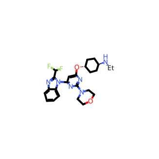 CCN[C@H]1CC[C@H](Oc2cc(-n3c(C(F)F)nc4ccccc43)nc(N3CCOCC3)n2)CC1